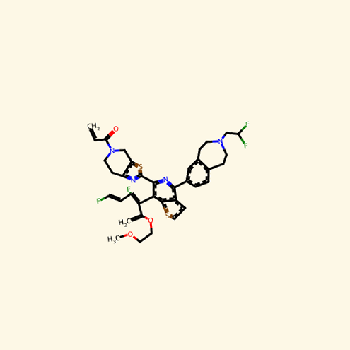 C=CC(=O)N1CCc2nc(-c3nc(-c4ccc5c(c4)CCN(CC(F)F)CC5)c4ccsc4c3/C(C(=C)OCCOC)=C(F)/C=C/F)sc2C1